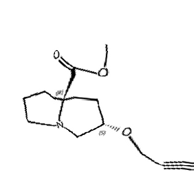 C#CCO[C@@H]1CN2CCC[C@]2(C(=O)OC)C1